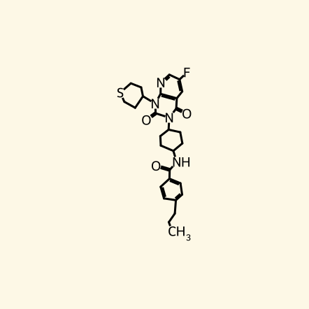 CCCc1ccc(C(=O)NC2CCC(n3c(=O)c4cc(F)cnc4n(C4CCSCC4)c3=O)CC2)cc1